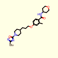 Cc1cc(OCCCC2CCN(c3nc(C(C)(C)C)no3)CC2)ccc1C(=O)NC1CCOCC1